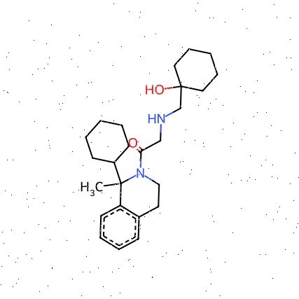 CC1(C2CCCCC2)c2ccccc2CCN1C(=O)CNCC1(O)CCCCC1